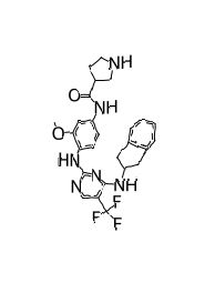 COc1cc(NC(=O)C2CCNC2)ccc1Nc1ncc(C(F)(F)F)c(NC2Cc3ccccc3C2)n1